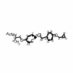 CC(=O)N[C@@H](C)COc1ccc(OCc2ccc(OCC3CC3)cc2)cc1